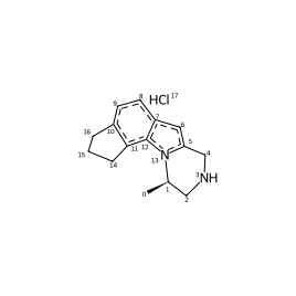 C[C@@H]1CNCc2cc3ccc4c(c3n21)CCC4.Cl